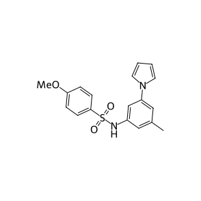 COc1ccc(S(=O)(=O)Nc2cc(C)cc(-n3cccc3)c2)cc1